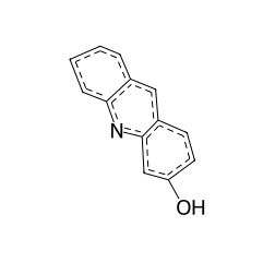 Oc1ccc2cc3ccccc3nc2c1